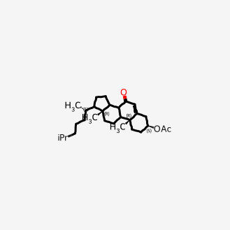 CC(=O)O[C@H]1CC[C@@]2(C)C(=CC(=O)C3C4CCC([C@@H](C)CCCC(C)C)[C@@]4(C)CCC32)C1